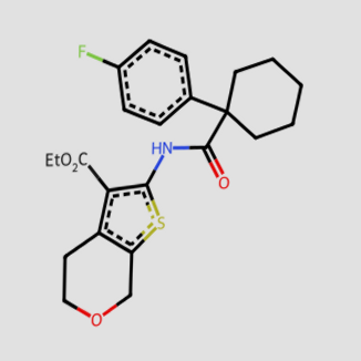 CCOC(=O)c1c(NC(=O)C2(c3ccc(F)cc3)CCCCC2)sc2c1CCOC2